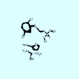 CCOP(=S)(OCC)SCSc1cc(Cl)ccc1Cl.CC[C@H](C)[C@H](N)C(=O)O.Oc1ccco1